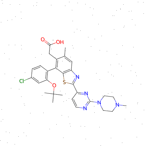 Cc1cc2nc(-c3ccnc(N4CCN(C)CC4)n3)sc2c(-c2ccc(Cl)cc2OC(C)(C)C)c1CC(=O)O